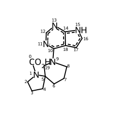 O=C(O)N1CCCC12CCCN(c1ncnc3[nH]ccc13)C2